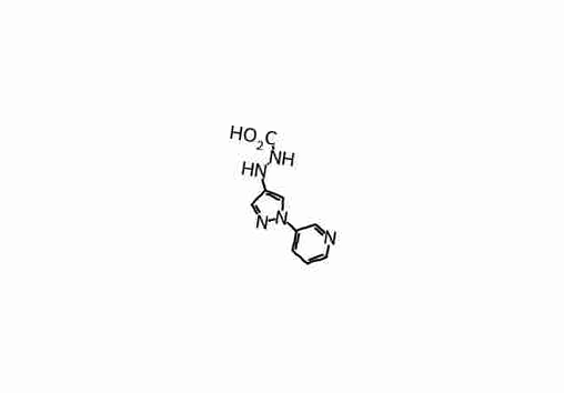 O=C(O)NNc1cnn(-c2cccnc2)c1